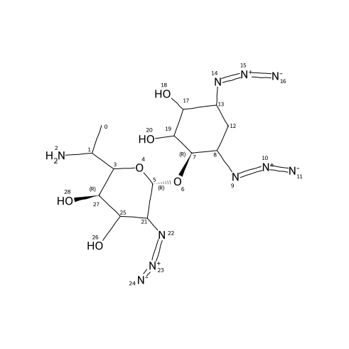 CC(N)C1O[C@H](O[C@@H]2C(N=[N+]=[N-])CC(N=[N+]=[N-])C(O)C2O)C(N=[N+]=[N-])C(O)[C@H]1O